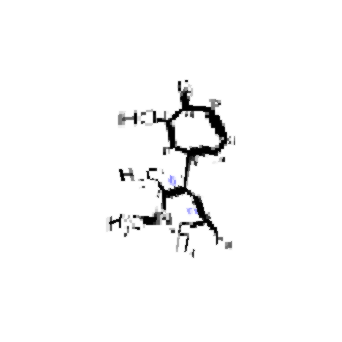 C=N/C(C)=C(\C=C(/C)F)c1cccc(=O)c(O)c1